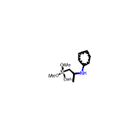 CO[Si](CC(C)Nc1ccccc1)(OC)OC